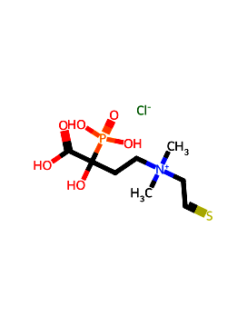 C[N+](C)(CC=S)CCC(O)(C(=O)O)P(=O)(O)O.[Cl-]